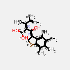 BC(=C)/C(B)=C(B(O)O)\C(O)=C1/CSc2c(B)c(B)c(B)c(B)c21